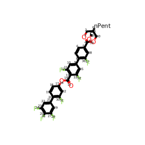 CCCCCC12COC(c3ccc(-c4cc(F)c(C(=O)Oc5ccc(-c6cc(F)c(F)c(F)c6)c(F)c5)c(F)c4)c(F)c3)(OC1)OC2